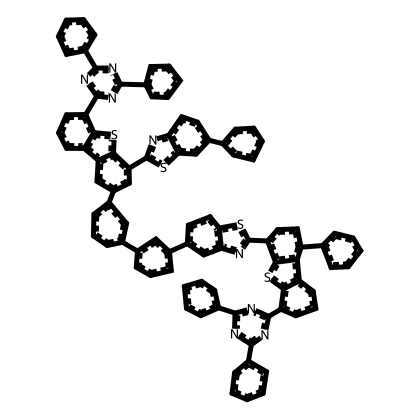 c1ccc(-c2ccc3nc(-c4cc(-c5cccc(-c6cccc(-c7ccc8sc(-c9ccc(-c%10ccccc%10)c%10c9sc9c(-c%11nc(-c%12ccccc%12)nc(-c%12ccccc%12)n%11)cccc9%10)nc8c7)c6)c5)cc5c4sc4c(-c6nc(-c7ccccc7)nc(-c7ccccc7)n6)cccc45)sc3c2)cc1